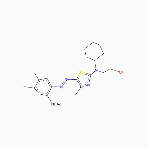 CC(=O)Nc1cc(C)c(C)cc1N=Nc1sc(N(CCO)C2CCCCC2)n[n+]1C